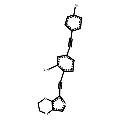 O=[N+]([O-])c1cc(C#Cc2ccc(S)cc2)ccc1C#Cc1scc2c1OCCO2